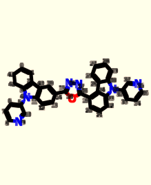 C1=Cc2c(n(-c3cccnc3)c3ccc(-c4nnc(-c5cccc6c5c5ccccc5n6-c5cccnc5)o4)cc23)CC1